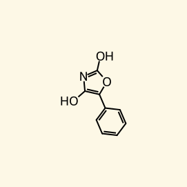 Oc1nc(O)c(-c2ccccc2)o1